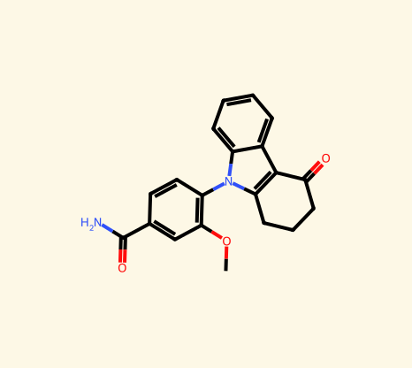 COc1cc(C(N)=O)ccc1-n1c2c(c3ccccc31)C(=O)CCC2